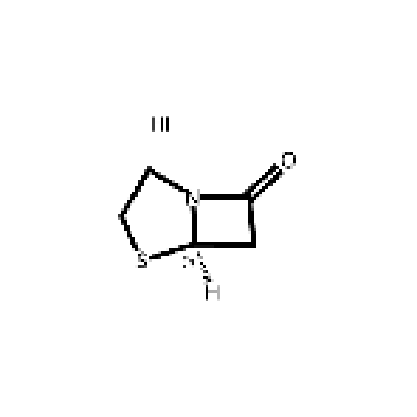 I.O=C1C[C@H]2SCCN12